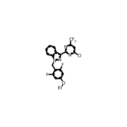 CCOc1cc(F)c(Cn2nc(-c3nc(Cl)cc(C(F)(F)F)n3)c3ccccc32)c(F)c1